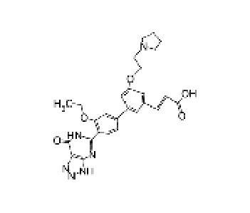 CCOc1cc(-c2cc(/C=C/C(=O)O)cc(OCCN3CCCC3)c2)ccc1-c1nc2[nH]nnc2c(=O)[nH]1